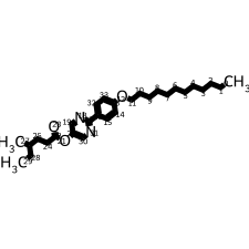 CCCCCCCCCCCCOc1ccc(-c2ncc(OC(=O)CCC(C)CC)cn2)cc1